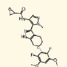 COc1cc(OC)c(F)c([C@H]2CCc3c(-c4c(NC(=O)C5CO5)cnn4C)n[nH]c3C2)c1F